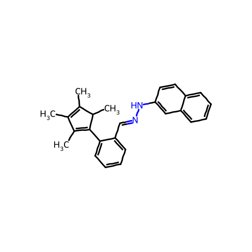 CC1=C(C)C(C)C(c2ccccc2/C=N/Nc2ccc3ccccc3c2)=C1C